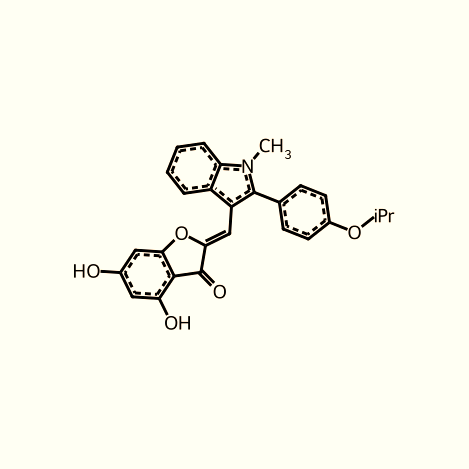 CC(C)Oc1ccc(-c2c(C=C3Oc4cc(O)cc(O)c4C3=O)c3ccccc3n2C)cc1